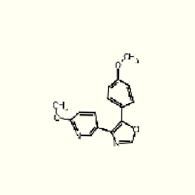 COc1ccc(-c2ocnc2-c2ccc(OC)nc2)cc1